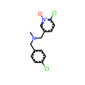 CN(Cc1ccc(Cl)cc1)Cc1ccc(Cl)[n+]([O-])c1